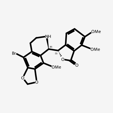 COc1ccc2c(c1OC)C(=O)O[C@@H]2[C@@H]1NCCc2c(Br)c3c(c(OC)c21)OCO3